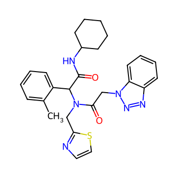 Cc1ccccc1C(C(=O)NC1CCCCC1)N(Cc1nccs1)C(=O)Cn1nnc2ccccc21